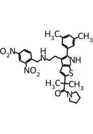 Cc1cc(C)cc(-c2[nH]c3sc(C(C)(C)C(=O)N4CCCC4)cc3c2CCNCc2ccc([N+](=O)[O-])cc2[N+](=O)[O-])c1